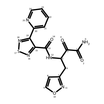 NC(=O)C(=O)C(Cc1ccon1)NC(=O)c1nsnc1-c1ccccn1